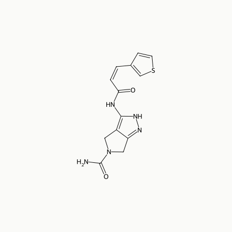 NC(=O)N1Cc2n[nH]c(NC(=O)/C=C\c3ccsc3)c2C1